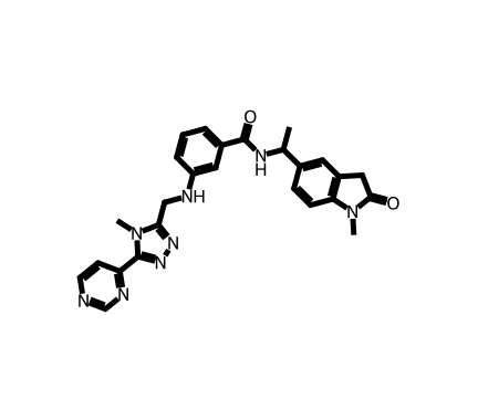 CC(NC(=O)c1cccc(NCc2nnc(-c3ccncn3)n2C)c1)c1ccc2c(c1)CC(=O)N2C